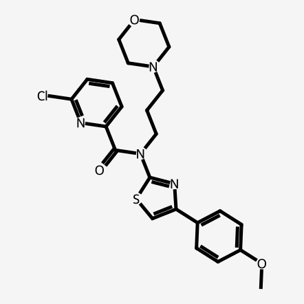 COc1ccc(-c2csc(N(CCCN3CCOCC3)C(=O)c3cccc(Cl)n3)n2)cc1